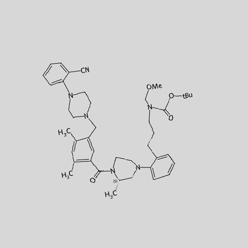 COCN(CCCc1ccccc1N1CCN(C(=O)c2cc(CN3CCN(c4ccccc4C#N)CC3)c(C)cc2C)[C@@H](C)C1)C(=O)OC(C)(C)C